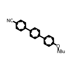 CCCCOc1ccc(-c2ccc(-c3ccc(C#N)cc3)cc2)cc1